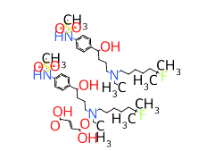 CCN(CCCCCC(C)(C)F)CCC[C@H](O)c1ccc(NS(C)(=O)=O)cc1.CCN(CCCCCC(C)(C)F)CCC[C@H](O)c1ccc(NS(C)(=O)=O)cc1.O=C(O)/C=C/C(=O)O